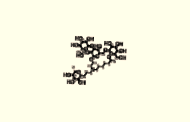 CC(=O)CCCCCN(CCC[C@@H]1O[C@@H](C)[C@@H](O)[C@@H](O)[C@@H]1O)CCO[C@H]1O[C@H](CO[C@H]2O[C@H](CO)[C@@H](O)[C@H](O)[C@@H]2O)[C@@H](O)[C@H](O[C@H]2O[C@H](CO)[C@@H](O)[C@H](O)[C@@H]2O)[C@@H]1O